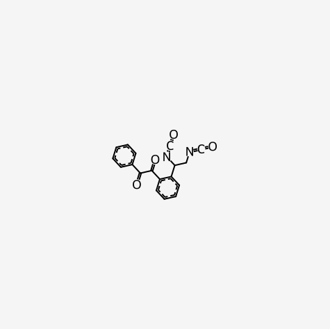 O=C=NCC(N=C=O)c1ccccc1C(=O)C(=O)c1ccccc1